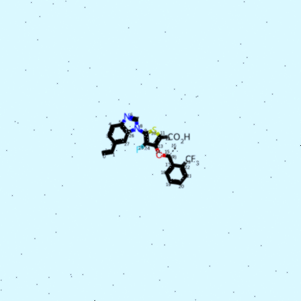 C=Cc1ccc2ncn(-c3sc(C(=O)O)c(O[C@H](C)c4ccccc4C(F)(F)F)c3F)c2c1